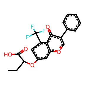 CCC(Oc1cc(C(F)(F)F)c2c(=O)c(-c3ccccc3)coc2c1)C(=O)O